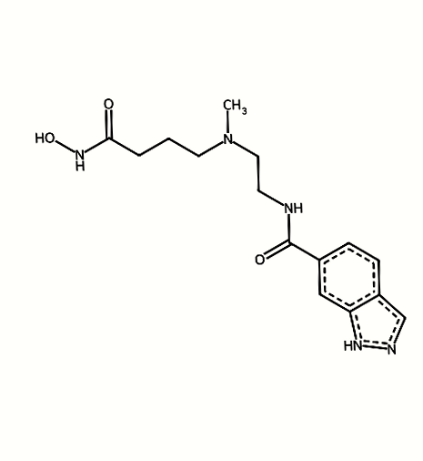 CN(CCCC(=O)NO)CCNC(=O)c1ccc2cn[nH]c2c1